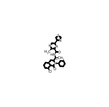 Cc1ncc(-c2cscn2)nc1C(=O)N[C@@H](C)c1cc2cccc(Cl)c2c(=O)n1-c1ccccc1